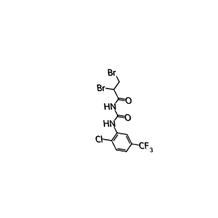 O=C(NC(=O)C(Br)CBr)Nc1cc(C(F)(F)F)ccc1Cl